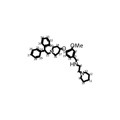 COc1cc(CNCCN2CCCCC2)ccc1OC1CCN(CC(c2ccccc2)c2ccccc2)CC1